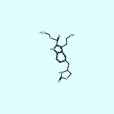 CCOC(=O)c1[nH]c2ccc(CC3COC(=O)N3)cc2c1CCO